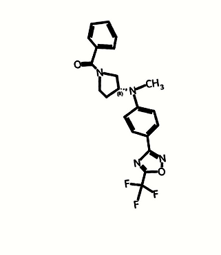 CN(c1ccc(-c2noc(C(F)(F)F)n2)cc1)[C@@H]1CCN(C(=O)c2ccccc2)C1